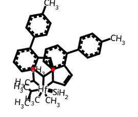 Cc1ccc(-c2cccc3c2C=C[CH]3[Hf]([CH3])([CH3])(=[SiH2])([CH](C)C)([CH](C)C)[CH]2C=Cc3c(-c4ccc(C)cc4)cccc32)cc1